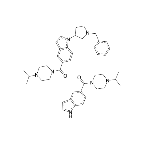 CC(C)N1CCN(C(=O)c2ccc3[nH]ccc3c2)CC1.CC(C)N1CCN(C(=O)c2ccc3c(ccn3C3CCN(Cc4ccccc4)C3)c2)CC1